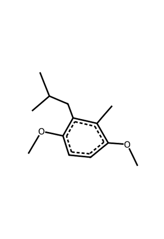 COc1ccc(OC)c(CC(C)C)c1C